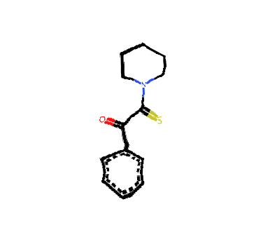 O=C(C(=S)N1CCCCC1)c1ccccc1